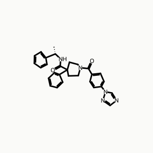 C[C@H](NC(=O)C1(c2ccccc2)CCN(C(=O)c2ccc(-n3cncn3)cc2)CC1)c1ccccc1